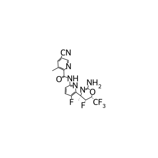 Cc1cc(C#N)cnc1C(=O)Nc1ccc(F)c([C@@]2(C)N=C(N)O[C@H](C(F)(F)F)[C@@H]2F)n1